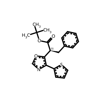 CC(C)(C)OC(=O)[C@@H](Cc1ccccc1)c1o[c]nc1-c1cccs1